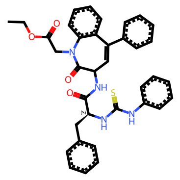 CCOC(=O)CN1C(=O)C(NC(=O)[C@H](Cc2ccccc2)NC(=S)Nc2ccccc2)C=C(c2ccccc2)c2ccccc21